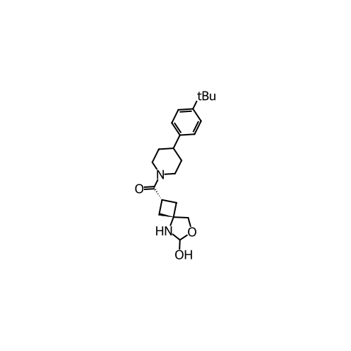 CC(C)(C)c1ccc(C2CCN(C(=O)[C@H]3C[C@]4(COC(O)N4)C3)CC2)cc1